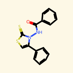 O=C(Nn1c(-c2ccccc2)csc1=S)c1ccccc1